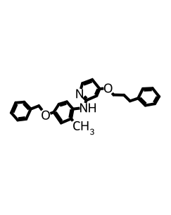 Cc1cc(OCc2ccccc2)ccc1Nc1cc(OCCCc2ccccc2)ccn1